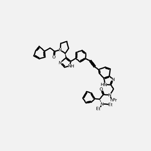 CCCN(Cc1nc2ccc(C#Cc3cccc(-c4[nH]cnc4[C@@H]4CCCN4C(=O)Cc4ccccc4)c3)cc2[nH]1)C(=O)[C@@H](c1ccccc1)N(CC)CC